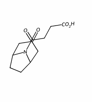 O=C(O)CCC(=O)N1C2CCC1CC(=O)C2